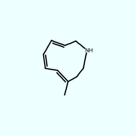 C\C1=C/C=C\C=C\CNCC1